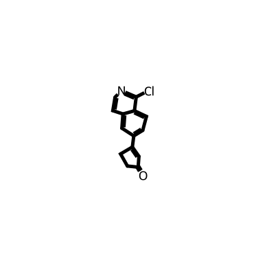 O=C1C=C(c2ccc3c(Cl)nccc3c2)CC1